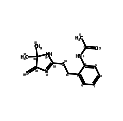 CC(=O)Nc1ccccc1CSC1=NC(=S)C(C)(C)N1